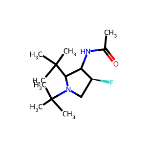 CC(=O)NC1C(C(C)(C)C)N(C(C)(C)C)C[C@@H]1F